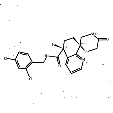 O=C1CO[C@@]2(CC[C@@](F)(C(=O)NCc3ccc(Cl)cc3Cl)c3cccnc32)CN1